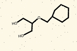 OCC(CO)OCC1CCCCC1